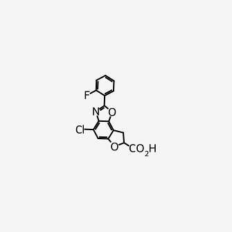 O=C(O)C1Cc2c(cc(Cl)c3nc(-c4ccccc4F)oc23)O1